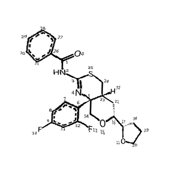 O=C(NC1=N[C@@]2(c3ccc(F)cc3F)CO[C@@H]([C@@H]3CCCO3)C[C@H]2CS1)c1ccccc1